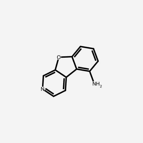 Nc1cccc2oc3cnccc3c12